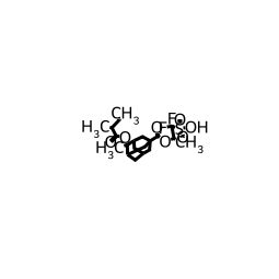 CCC(C)C(=O)OC1(C)C2CC3CC1CC(C(=O)OC(C)C(F)(F)S(=O)(=O)O)(C3)C2